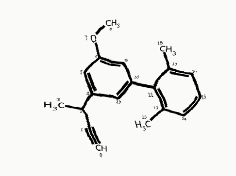 C#CC(C)c1cc(OC)cc(-c2c(C)cccc2C)c1